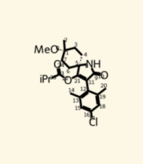 CO[C@]1(C)CC[C@]2(CC1)NC(=O)C(c1c(C)cc(Cl)cc1C)=C2OC(=O)C(C)C